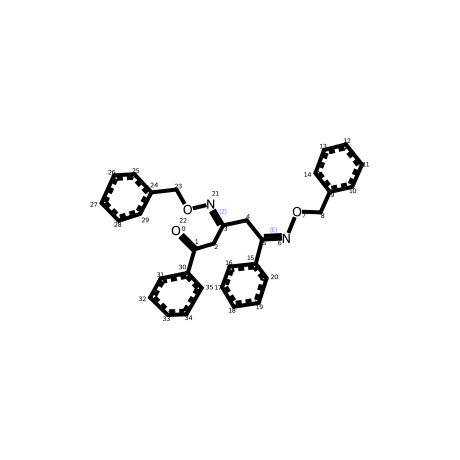 O=C(C/C(C/C(=N\OCc1ccccc1)c1ccccc1)=N\OCc1ccccc1)c1ccccc1